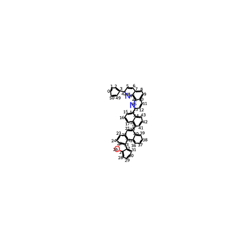 c1ccc(-c2ccc3ccc4ccc(-c5cccc6c(-c7cc8ccc9oc%10ccccc%10c9c8c8ccccc78)cccc56)nc4c3n2)cc1